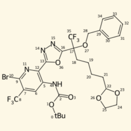 CC(C)(C)OC(=O)Nc1cc(C(F)(F)F)c(Br)nc1-c1nnc(C(CCCCC2OCCO2)(OCc2ccccc2)C(F)(F)F)o1